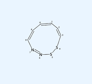 C1=CC=CSSN=NC=C1